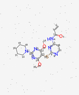 C=CC(=O)Nc1ccnc(Sc2c(OC)nc(N3CCCCC3)nc2OC)n1